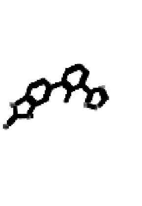 Cc1c(-c2ccc3[nH]c(=O)[nH]c3c2)cccc1-c1ncon1